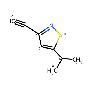 C#Cc1cc(C(C)C)sn1